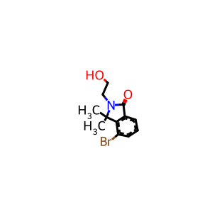 CC1(C)c2c(Br)cccc2C(=O)N1CCO